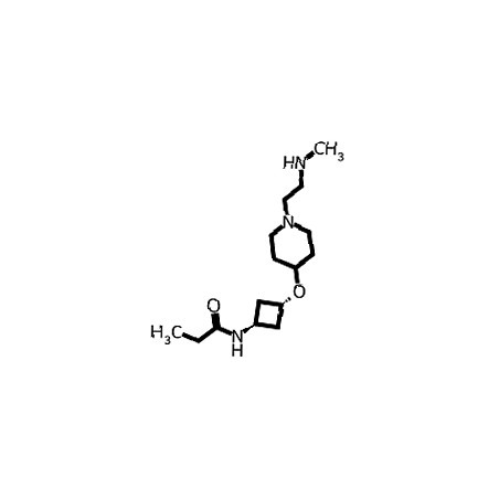 CCC(=O)N[C@H]1C[C@H](OC2CCN(CCNC)CC2)C1